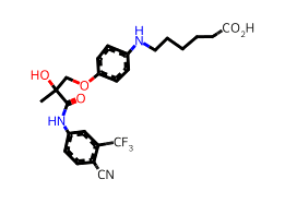 CC(O)(COc1ccc(NCCCCCC(=O)O)cc1)C(=O)Nc1ccc(C#N)c(C(F)(F)F)c1